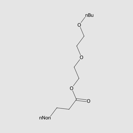 CCCCCCCCCCCC(=O)OCCOCCOCCCC